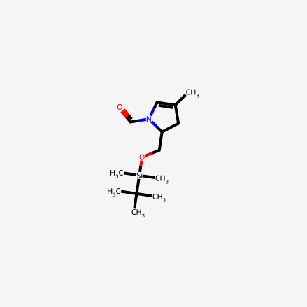 CC1=CN(C=O)C(CO[Si](C)(C)C(C)(C)C)C1